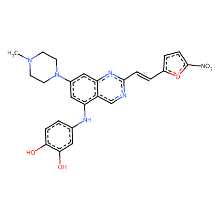 CN1CCN(c2cc(Nc3ccc(O)c(O)c3)c3cnc(/C=C/c4ccc([N+](=O)[O-])o4)nc3c2)CC1